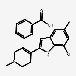 Cc1cc(Cl)c2[nH]c(C3=CCN(C)CC3)cc2c1.O=C(O)c1ccccc1